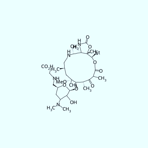 CC[C@H]1OC(=O)C(C)C(=O)[C@H](C)[C@@H](O[C@@H]2O[C@H](CNCC(=O)O)CC(N(C)C)C2O)[C@](C)(OC)C[C@@H](C)CN[C@H](C)[C@H]2NC(=O)O[C@@]21C